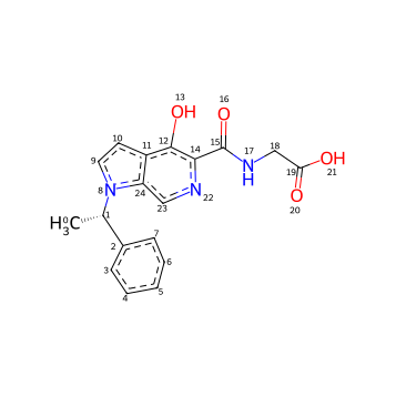 C[C@@H](c1ccccc1)n1ccc2c(O)c(C(=O)NCC(=O)O)ncc21